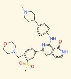 CN1CCC(c2ccc(Nc3nc(-c4ccc(CN5CCOCC5)c(S(C)(=O)=O)c4)cc4cc[nH]c(=O)c34)cc2)CC1